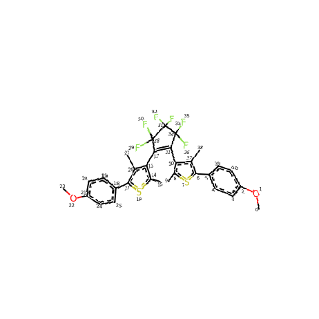 COc1ccc(-c2sc(C)c(C3=C(c4c(C)sc(-c5ccc(OC)cc5)c4C)C(F)(F)C(F)(F)C3(F)F)c2C)cc1